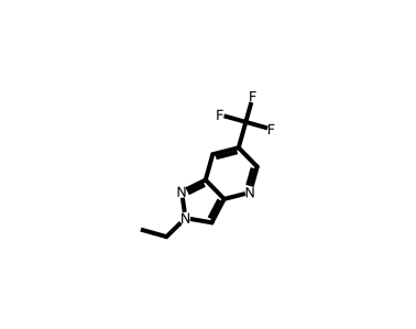 CCn1cc2ncc(C(F)(F)F)cc2n1